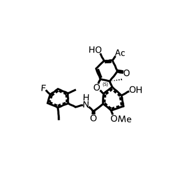 COc1cc(O)c2c(c1C(=O)NCc1c(C)cc(F)cc1C)OC1=CC(O)=C(C(C)=O)C(=O)[C@]12C